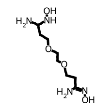 N/C(CCOCCOCCC(N)NO)=N\O